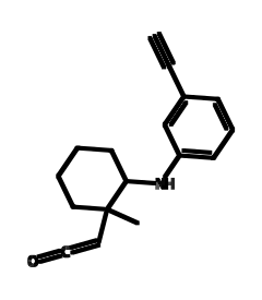 C#Cc1cccc(NC2CCCCC2(C)C=C=O)c1